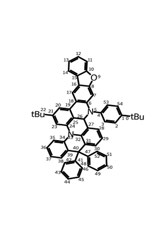 CC(C)(C)c1ccc(N2c3cc4oc5ccccc5c4cc3-c3cc(C(C)(C)C)cc4c3C2c2cccc3c2N4c2ccccc2C3(c2ccccc2)c2ccccc2)cc1